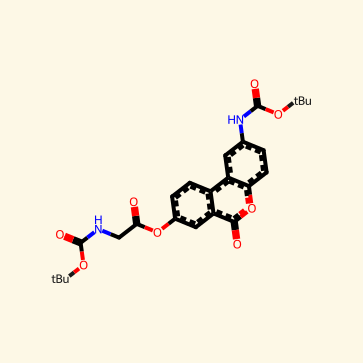 CC(C)(C)OC(=O)NCC(=O)Oc1ccc2c(c1)c(=O)oc1ccc(NC(=O)OC(C)(C)C)cc12